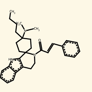 CCCCC1(N(C)C)CCC2(CC1)c1[nH]c3ccccc3c1CCN2C(=O)/C=C/c1ccccc1